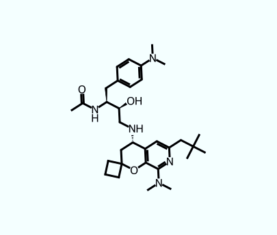 CC(=O)N[C@@H](Cc1ccc(N(C)C)cc1)[C@@H](O)CN[C@H]1CC2(CCC2)Oc2c1cc(CC(C)(C)C)nc2N(C)C